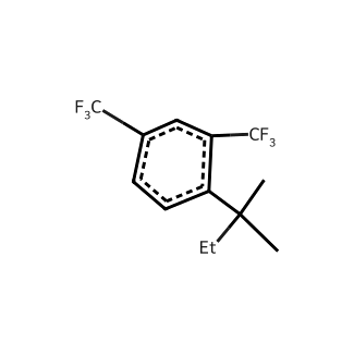 CCC(C)(C)c1ccc(C(F)(F)F)cc1C(F)(F)F